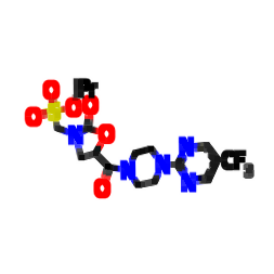 CC(C)OS(=O)(=O)CN1CC(C(=O)N2CCN(c3ncc(C(F)(F)F)cn3)CC2)OC1=O